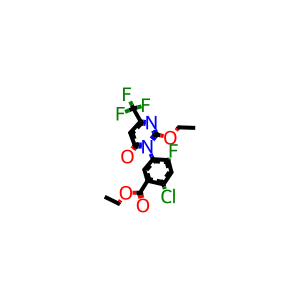 CCOC(=O)c1cc(-n2c(OCC)nc(C(F)(F)F)cc2=O)c(F)cc1Cl